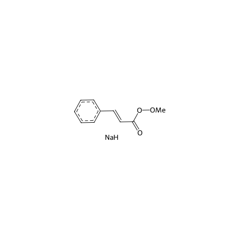 COOC(=O)C=Cc1ccccc1.[NaH]